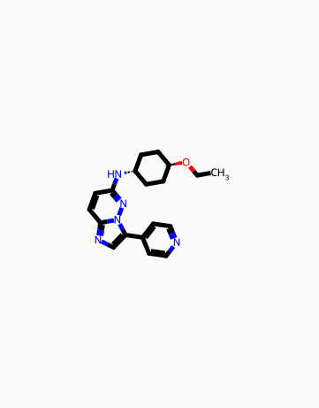 CCO[C@H]1CC[C@H](Nc2ccc3ncc(-c4ccncc4)n3n2)CC1